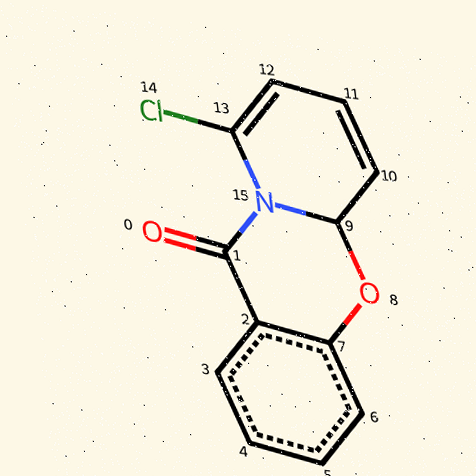 O=C1c2ccccc2OC2C=CC=C(Cl)N12